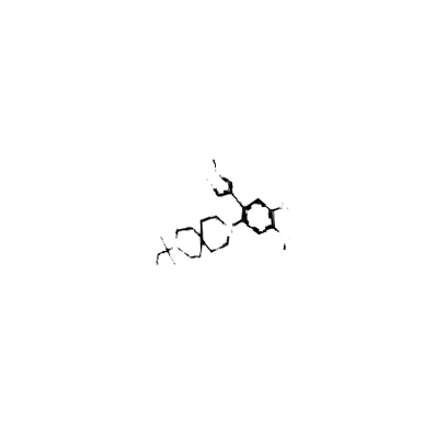 COc1cc(N2CCC3(CC2)CCN(C(C)(C)CF)CC3)c(-c2cnn(C)c2)cc1N